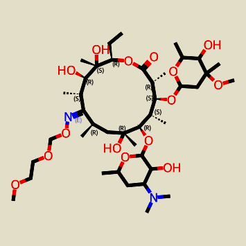 CC[C@H]1OC(=O)[C@H](C)[C@@H](OC2CC(C)(OC)C(O)C(C)O2)[C@H](C)[C@@H](OC2OC(C)CC(N(C)C)C2O)[C@](C)(O)C[C@@H](C)/C(=N\OCOCCOC)[C@H](C)[C@@H](O)[C@]1(C)O